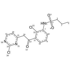 CCCS(=O)(=O)Nc1cccc(C(=O)Cc2ccnc(Cl)n2)c1Cl